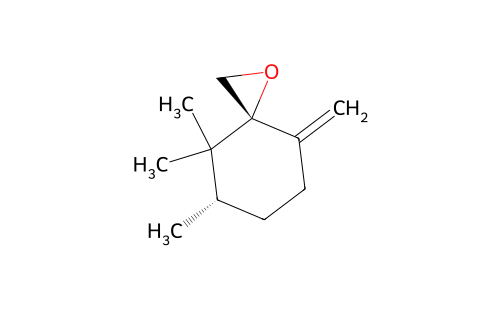 C=C1CC[C@H](C)C(C)(C)[C@@]12CO2